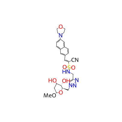 CO[C@@H]1C[C@@H](O)[C@H](O)[C@@H](Cn2cc(CNS(=O)(=O)/C(C#N)=C/c3ccc4cc(N5CCOCC5)ccc4c3)nn2)O1